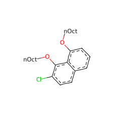 CCCCCCCCOc1cccc2ccc(Cl)c(OCCCCCCCC)c12